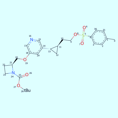 Cc1ccc(S(=O)(=O)OCC[C@H]2C[C@@H]2c2cncc(OC[C@@H]3CCN3C(=O)OC(C)(C)C)c2)cc1